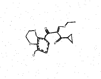 CCOC=C(C(=O)c1ccc(Cl)c2c1SCCO2)C(=O)C1CC1